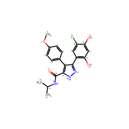 COc1ccc(-c2c(-c3cc(Cl)c(O)cc3O)n[nH]c2C(=O)NC(C)C)cc1